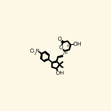 CC1(C)C(C=C[C@H]2C[C@H](O)CC(=O)O2)=C(c2ccc([N+](=O)[O-])cc2)CC1O